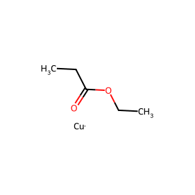 CCOC(=O)CC.[Cu]